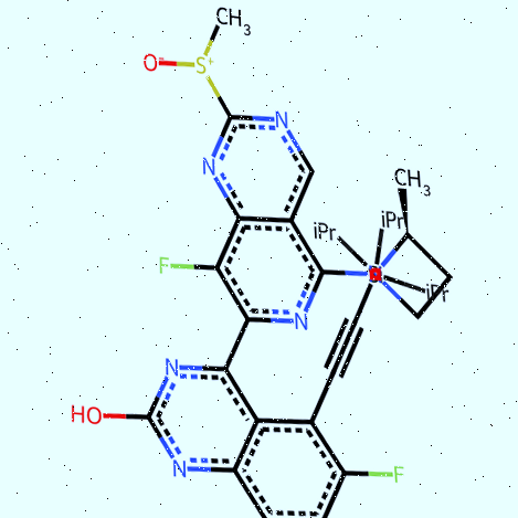 CC(C)[Si](C#Cc1c(F)ccc2nc(O)nc(-c3nc(N4CC[C@@H]4C)c4cnc([S+](C)[O-])nc4c3F)c12)(C(C)C)C(C)C